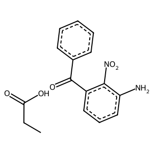 CCC(=O)O.Nc1cccc(C(=O)c2ccccc2)c1[N+](=O)[O-]